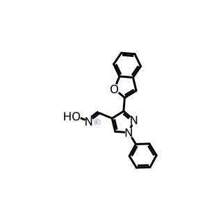 O/N=C/c1cn(-c2ccccc2)nc1-c1cc2ccccc2o1